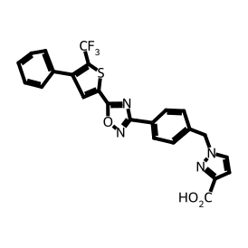 O=C(O)c1ccn(Cc2ccc(-c3noc(-c4cc(-c5ccccc5)c(C(F)(F)F)s4)n3)cc2)n1